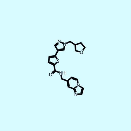 O=C(NCc1ccn2ccnc2c1)c1ccc(-c2cnn(CC3CCOC3)c2)s1